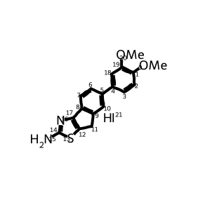 COc1ccc(-c2ccc3c(c2)Cc2sc(N)nc2-3)cc1OC.I